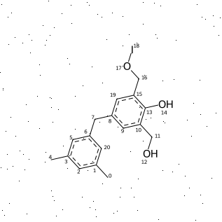 Cc1cc(C)cc(Cc2cc(CO)c(O)c(COI)c2)c1